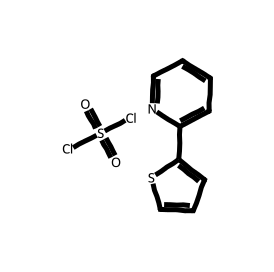 O=S(=O)(Cl)Cl.c1ccc(-c2cccs2)nc1